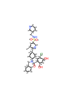 Cc1cc(S(=O)(=O)NCc2cccnc2)cnc1-c1ccc(N(Cc2ccccc2)C(=O)c2cc(Cl)c(O)cc2O)cc1